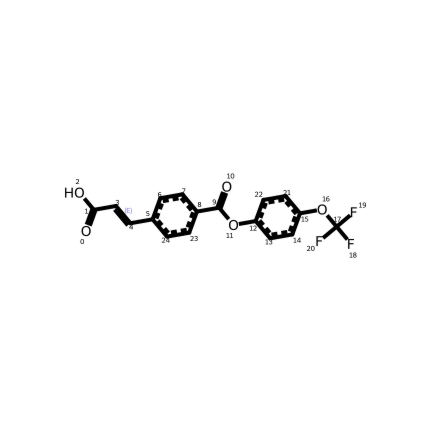 O=C(O)/C=C/c1ccc(C(=O)Oc2ccc(OC(F)(F)F)cc2)cc1